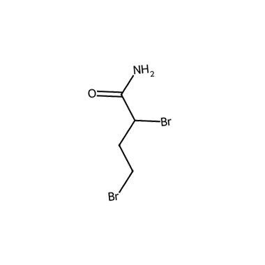 NC(=O)C(Br)CCBr